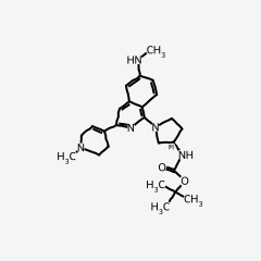 CNc1ccc2c(N3CC[C@@H](NC(=O)OC(C)(C)C)C3)nc(C3=CCN(C)CC3)cc2c1